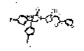 C[N+]1(CC(=O)c2ccsc2)CCC(N2CC(c3ccc(F)cc3)(c3ccc(F)cc3)NC2=O)C1